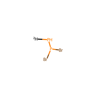 [2H]PP(Br)Br